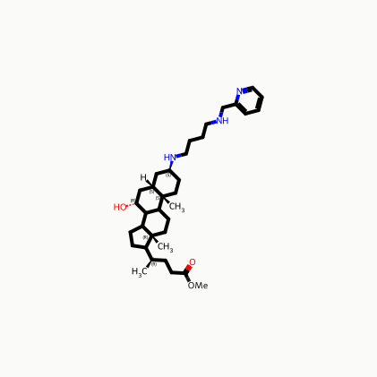 COC(=O)CC[C@@H](C)C1CCC2C3C(CC[C@@]21C)[C@@]1(C)CC[C@H](NCCCCNCc2ccccn2)C[C@H]1C[C@H]3O